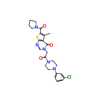 Cc1c(C(=O)N2CCCC2)sc2ncn(CC(=O)N3CCN(c4cccc(Cl)c4)CC3)c(=O)c12